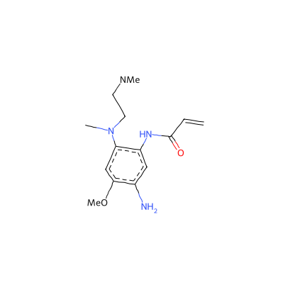 C=CC(=O)Nc1cc(N)c(OC)cc1N(C)CCNC